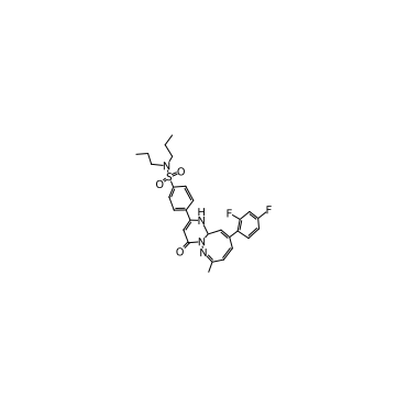 CCCN(CCC)S(=O)(=O)c1ccc(C2=CC(=O)N3N=C(C)C=CC(c4ccc(F)cc4F)=CC3N2)cc1